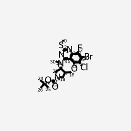 CSc1nc2c3c(c(Cl)c(Br)c(F)c3n1)OCC1CN(C(=O)OC(C)(C)C)CC1N2C